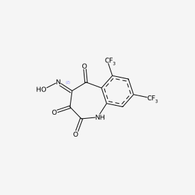 O=C1Nc2cc(C(F)(F)F)cc(C(F)(F)F)c2C(=O)/C(=N/O)C1=O